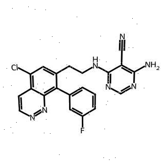 N#Cc1c(N)ncnc1NCCc1cc(Cl)c2ccnnc2c1-c1cccc(F)c1